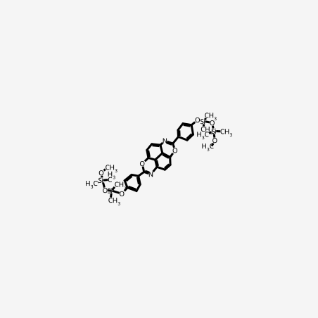 CO[Si](C)(C)O[Si](C)(C)Oc1ccc(C2=Nc3ccc4c5c(ccc(c35)O2)N=C(c2ccc(O[Si](C)(C)O[Si](C)(C)OC)cc2)O4)cc1